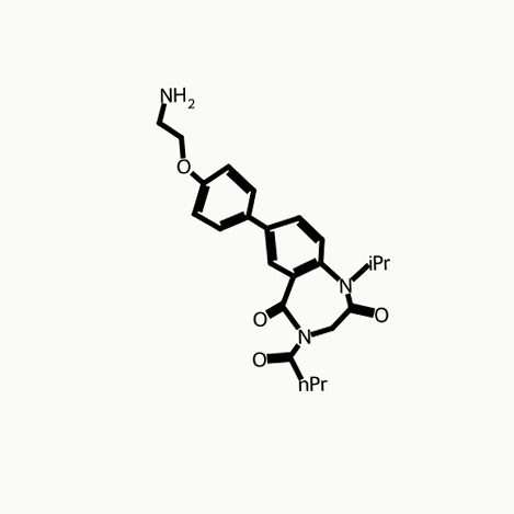 CCCC(=O)N1CC(=O)N(C(C)C)c2ccc(-c3ccc(OCCN)cc3)cc2C1=O